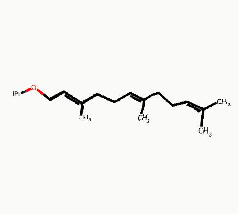 CC(C)=CCC/C(C)=C/CC/C(C)=C/COC(C)C